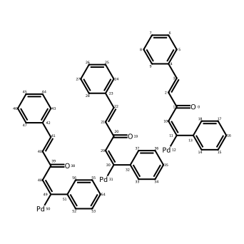 O=C(/C=C/c1ccccc1)/C=[C](/[Pd])c1ccccc1.O=C(/C=C/c1ccccc1)/C=[C](/[Pd])c1ccccc1.O=C(/C=C/c1ccccc1)/C=[C](/[Pd])c1ccccc1